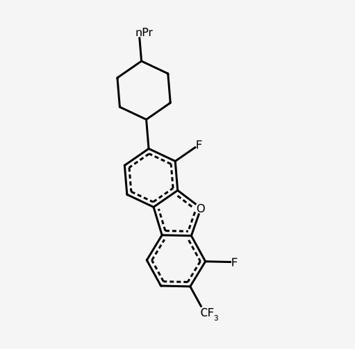 CCCC1CCC(c2ccc3c(oc4c(F)c(C(F)(F)F)ccc43)c2F)CC1